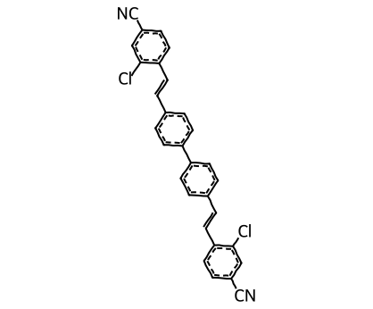 N#Cc1ccc(C=Cc2ccc(-c3ccc(C=Cc4ccc(C#N)cc4Cl)cc3)cc2)c(Cl)c1